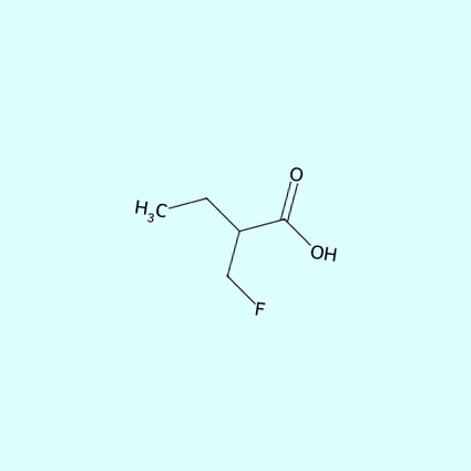 CCC(CF)C(=O)O